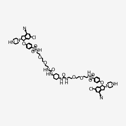 N#Cc1cc(Cl)cc2c1C[C@H](N1CCNCC1)[C@H]2Oc1ccc(S(=O)(=O)NCCOCCOCCNC(=O)NC2CCC(NC(=O)NCCOCCOCCNS(=O)(=O)c3ccc(O[C@H]4c5cc(Cl)cc(C#N)c5C[C@@H]4N4CCNCC4)cc3)CC2)cc1